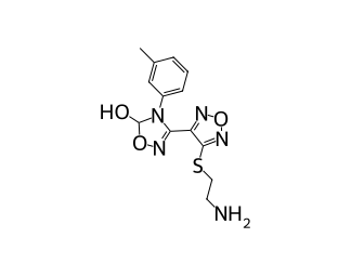 Cc1cccc(N2C(c3nonc3SCCN)=NOC2O)c1